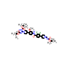 COc1cc(NC(=O)c2ccc(C3=CCN(C=NC(=O)OC(C)(C)C)CC3)c(F)c2F)ccc1C1=CCN(C(=NC(=O)OC(C)(C)C)NC(=O)OC(C)(C)C)CC1